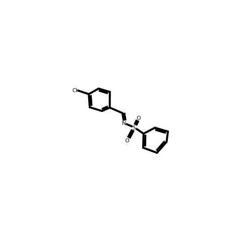 O=S(=O)(/N=C/c1ccc(Cl)cc1)c1ccccc1